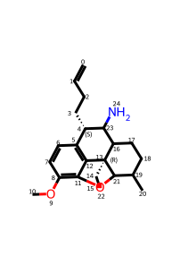 C=CCC[C@H]1c2ccc(OC)c3c2[C@@]2(CC)C(CCC(C)C2O3)C1N